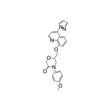 COc1ccc(N2CC(COc3cccc4c(-n5cccn5)ccnc34)OCC2=O)cc1